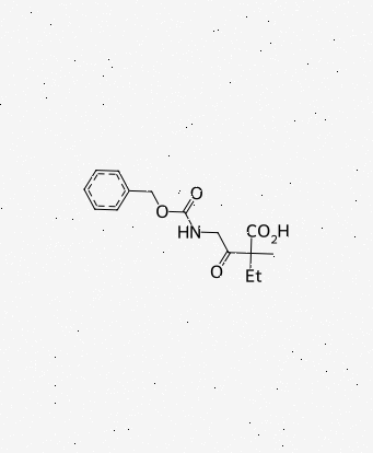 CCC(C)(C(=O)O)C(=O)CNC(=O)OCc1ccccc1